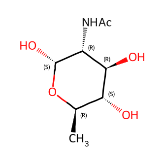 CC(=O)N[C@@H]1[C@@H](O)[C@H](O)[C@@H](C)O[C@@H]1O